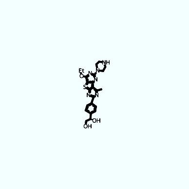 CCOc1nc(N2CCNCC2)nc2c1sc1nc(-c3ccc([C@@H](O)CO)cc3)nc(C)c12